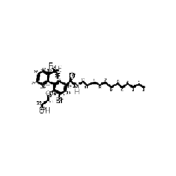 CCCCCCCCCCCCNC(=O)c1cc(Br)c(OCCO)c(-c2ccccc2C(F)(F)F)c1